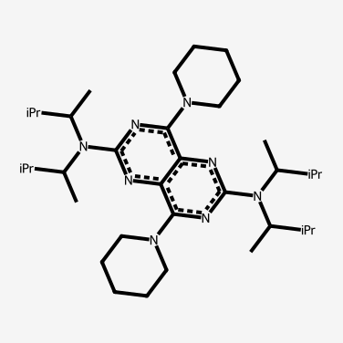 CC(C)C(C)N(c1nc(N2CCCCC2)c2nc(N(C(C)C(C)C)C(C)C(C)C)nc(N3CCCCC3)c2n1)C(C)C(C)C